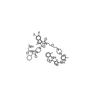 CN[C@@H](C)C(=O)NC(C(=O)N1CCN(C(=O)c2c(C(=O)NCCOCCN3CCN(c4cc(Nc5ncc(C(=O)Nc6c(C)cccc6Cl)s5)nc(C)n4)CC3)c3cc(F)c(F)cc3n2C)CC1)C1CCCCC1